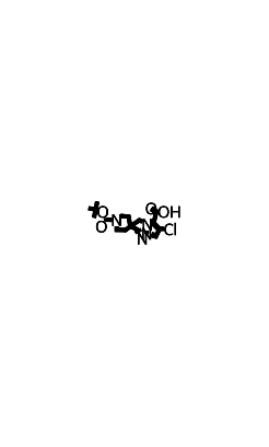 CC(C)(C)OC(=O)N1CCC(C#N)(Cn2ncc(Cl)c2C(=O)O)CC1